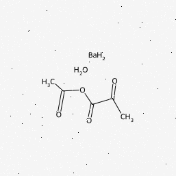 CC(=O)OC(=O)C(C)=O.O.[BaH2]